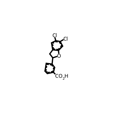 O=C(O)c1cccc(C2Cc3cc(Cl)c(Cl)cc3O2)c1